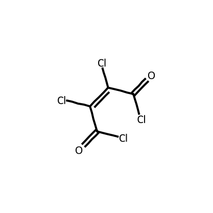 O=C(Cl)/C(Cl)=C(/Cl)C(=O)Cl